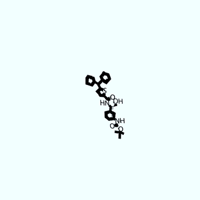 CC(C)(C)OC(=O)Nc1cccc([C@@H](CO)NC(=O)c2ccc(C(c3ccccc3)c3ccccc3)s2)c1